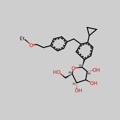 CCOCCc1ccc(Cc2cc([C@@H]3O[C@H](CO)[C@@H](O)C(O)[C@H]3O)ccc2C2CC2)cc1